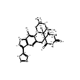 C[C@@H]1CN2c3c(cc4c(-c5cncs5)noc4c3Cl)CC3(C(=O)NC(=O)NC3=O)[C@H]2[C@H](C)O1